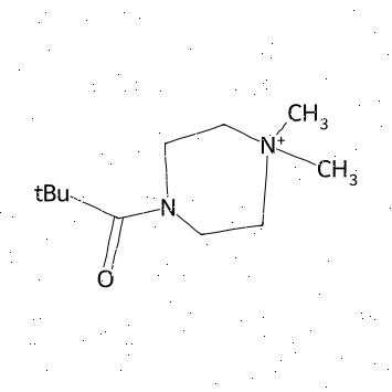 CC(C)(C)C(=O)N1CC[N+](C)(C)CC1